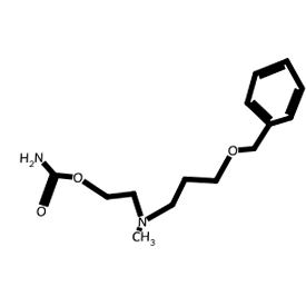 CN(CCCOCc1ccccc1)CCOC(N)=O